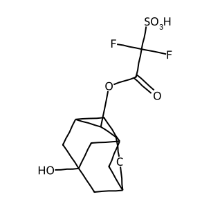 O=C(OC1CCC2CC3CC1CC(O)(C2)C3)C(F)(F)S(=O)(=O)O